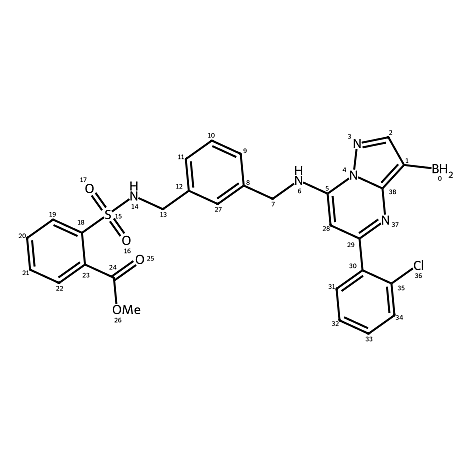 Bc1cnn2c(NCc3cccc(CNS(=O)(=O)c4ccccc4C(=O)OC)c3)cc(-c3ccccc3Cl)nc12